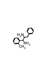 Cc1ccccc1C(N)C(N)Cc1ccccc1